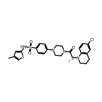 Cc1csc(NS(=O)(=O)c2ccc(N3CCN(C(=O)[C@@H](C)N4CCCc5cc(Cl)ccc54)CC3)cc2)c1